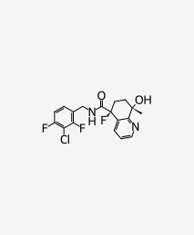 C[C@]1(O)CC[C@@](F)(C(=O)NCc2ccc(F)c(Cl)c2F)c2cccnc21